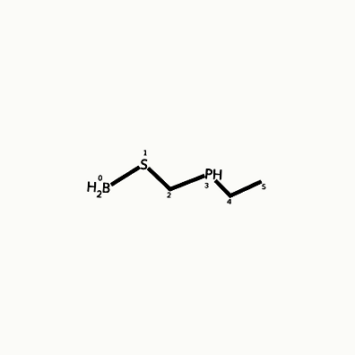 BSCPCC